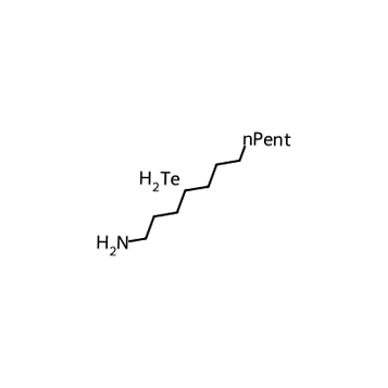 CCCCCCCCCCCCN.[TeH2]